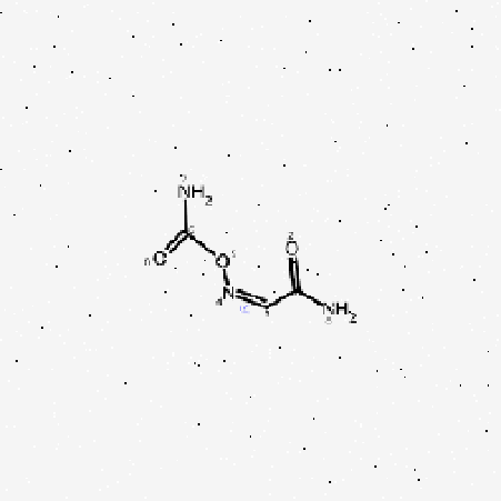 NC(=O)/C=N\OC(N)=O